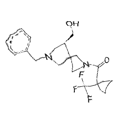 O=C(N1CC2(CN(Cc3ccccc3)C[C@H]2CO)C1)C1(C(F)(F)F)CC1